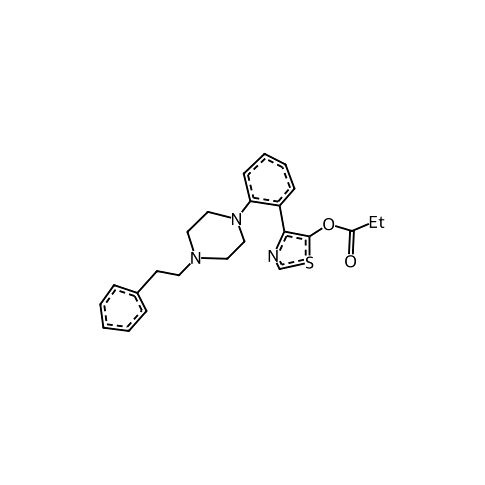 CCC(=O)Oc1scnc1-c1ccccc1N1CCN(CCc2ccccc2)CC1